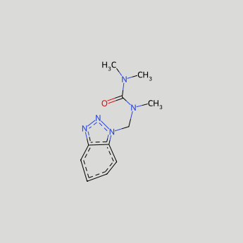 CN(C)C(=O)N(C)Cn1nnc2ccccc21